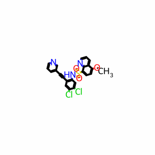 COc1ccc(S(=O)(=O)Nc2cc(Cl)c(Cl)cc2C#Cc2cccnc2)c2ncccc12